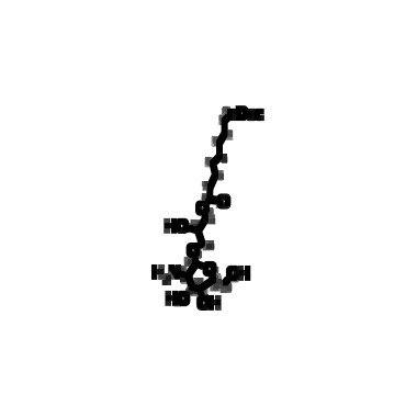 CCCCCCCCCCCCCCCCCC(=O)OCC(O)COC1O[C@H](CO)[C@@H](O)[C@H](O)[C@H]1N